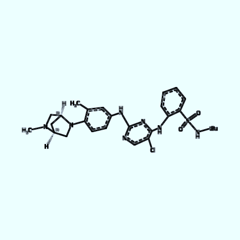 Cc1cc(Nc2ncc(Cl)c(Nc3ccccc3S(=O)(=O)NC(C)(C)C)n2)ccc1N1C[C@@H]2C[C@H]1CN2C